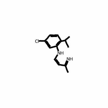 CC(=N)/C=C\Nc1cc(Cl)ccc1C(C)C